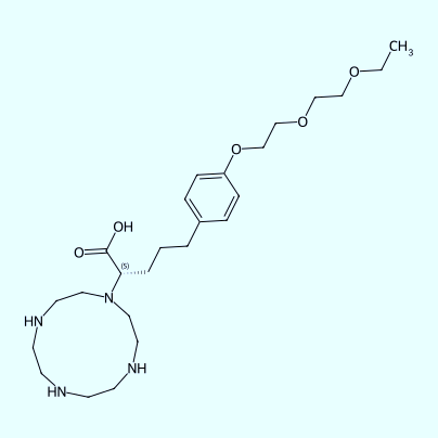 CCOCCOCCOc1ccc(CCC[C@@H](C(=O)O)N2CCNCCNCCNCC2)cc1